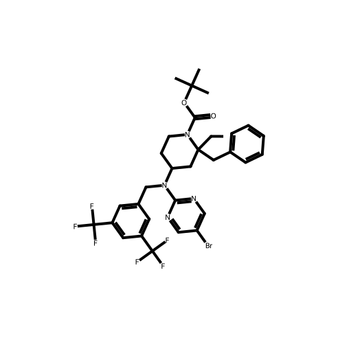 CCC1(Cc2ccccc2)CC(N(Cc2cc(C(F)(F)F)cc(C(F)(F)F)c2)c2ncc(Br)cn2)CCN1C(=O)OC(C)(C)C